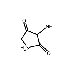 [NH]C1C(=O)C[SH4]C1=O